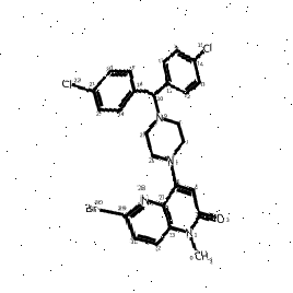 Cn1c(=O)cc(N2CCN(C(c3ccc(Cl)cc3)c3ccc(Cl)cc3)CC2)c2nc(Br)ccc21